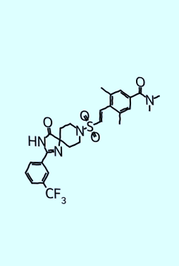 Cc1cc(C(=O)N(C)C)cc(C)c1C=CS(=O)(=O)N1CCC2(CC1)N=C(c1cccc(C(F)(F)F)c1)NC2=O